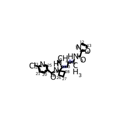 C=N/C(=C\C=C(/C)NC(=O)c1ncco1)C1(NC(=O)c2ccc(Cl)nc2)CCC1